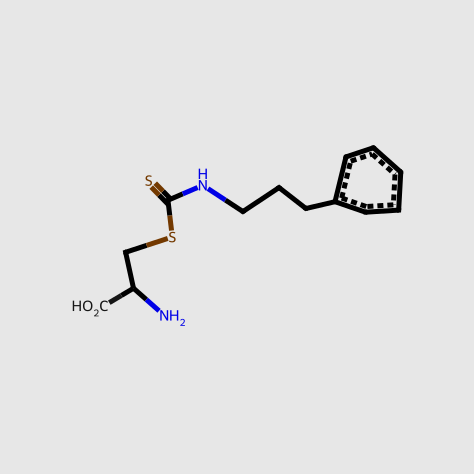 NC(CSC(=S)NCCCc1ccccc1)C(=O)O